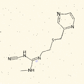 CN/C(=N/CCSCc1cnccn1)NC#N